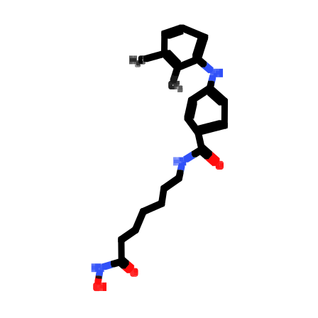 Cc1cccc(Nc2ccc(C(=O)NCCCCCCC(=O)NO)cc2)c1C(F)(F)F